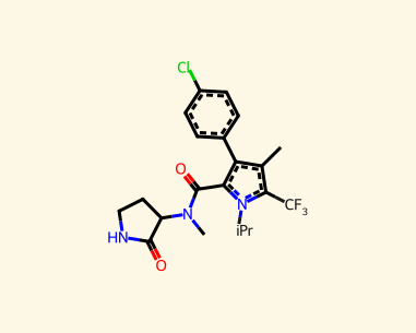 Cc1c(-c2ccc(Cl)cc2)c(C(=O)N(C)C2CCNC2=O)n(C(C)C)c1C(F)(F)F